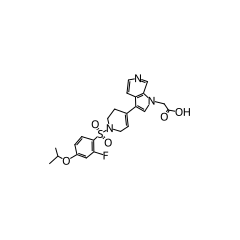 CC(C)Oc1ccc(S(=O)(=O)N2CC=C(c3cn(CC(=O)O)c4cnccc34)CC2)c(F)c1